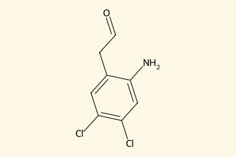 Nc1cc(Cl)c(Cl)cc1CC=O